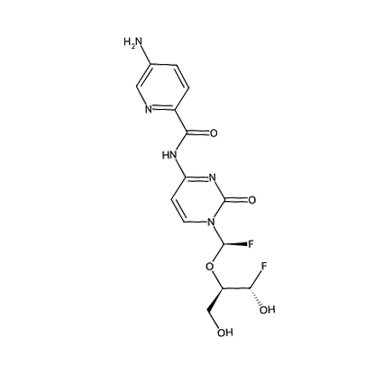 Nc1ccc(C(=O)Nc2ccn([C@@H](F)O[C@H](CO)[C@@H](O)F)c(=O)n2)nc1